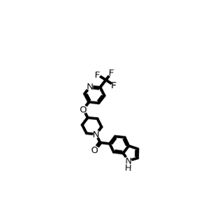 O=C(c1ccc2cc[nH]c2c1)N1CCC(Oc2ccc(C(F)(F)F)nc2)CC1